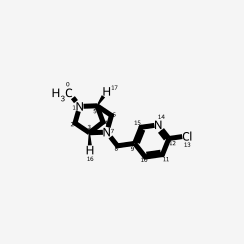 CN1C[C@@H]2C[C@H]1CN2Cc1ccc(Cl)nc1